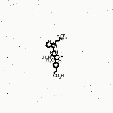 C[C@@]1(c2ccc(CCC(=O)O)cc2)C(=O)Nc2nc(-c3nn(CCC(F)(F)C(F)(F)F)c4ncccc34)nc(N)c21